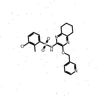 Cc1c(Cl)cccc1S(=O)(=O)Nc1nc2c(nc1OCc1cccnc1)CCCC2